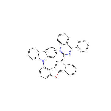 c1ccc(-c2nc(-c3cc4c(oc5cccc(-n6c7ccccc7c7ccccc76)c54)c4ccccc34)nc3ccccc23)cc1